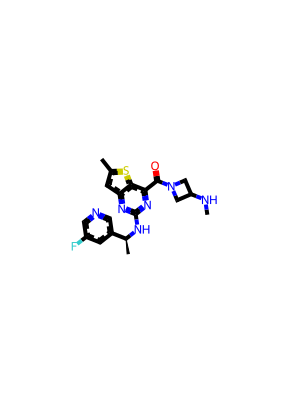 CNC1CN(C(=O)c2nc(N[C@@H](C)c3cncc(F)c3)nc3cc(C)sc23)C1